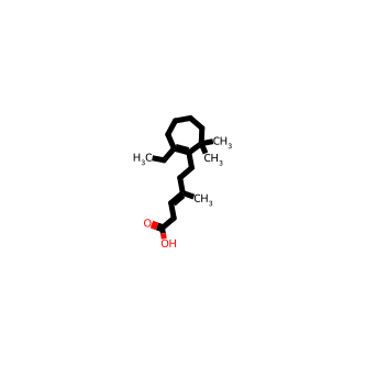 CCC1=C(CC/C(C)=C/CC(=O)O)C(C)(C)CCCC1